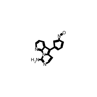 Nc1nccc2c(-c3cccc(N=O)c3)c3cccnc3n12